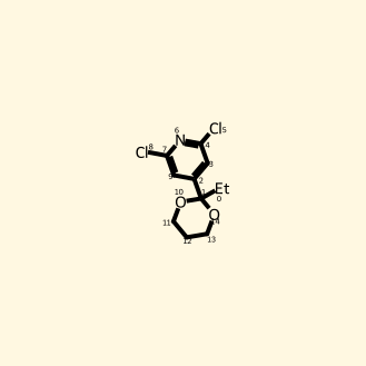 CCC1(c2cc(Cl)nc(Cl)c2)OCCCO1